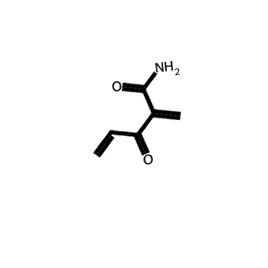 C=CC(=O)C(=C)C(N)=O